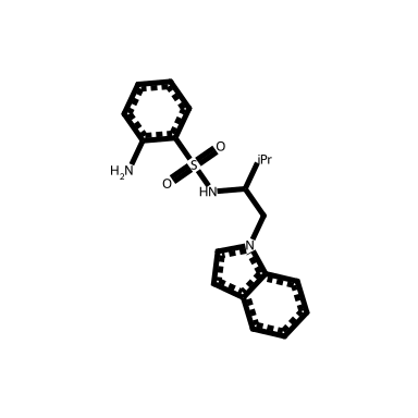 CC(C)C(Cn1ccc2ccccc21)NS(=O)(=O)c1ccccc1N